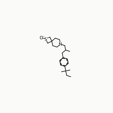 CCC(C)(C)c1ccc(CC(C)CN2CCC3(CC2)C[S+]([O-])C3)cc1